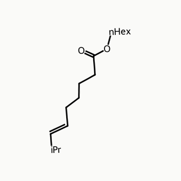 CCCCCCOC(=O)CCCC/C=C/C(C)C